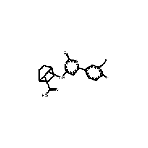 O=C(O)C1C2CCC(CC2)C1Nc1cc(-c2ccc(F)c(F)c2)nc(Cl)n1